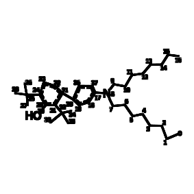 CCCCCCCCN(CCCCCCCC)c1ccc(-c2[c]cc(C(C)(C)C)c(O)c2C(C)(C)C)cc1